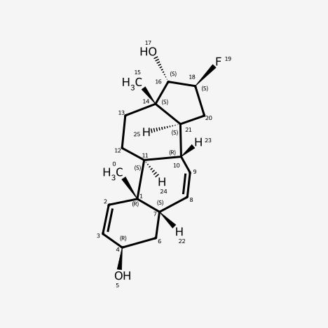 C[C@]12C=C[C@H](O)C[C@H]1C=C[C@@H]1[C@@H]2CC[C@]2(C)[C@H](O)[C@@H](F)C[C@@H]12